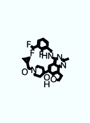 Cc1nc(NCc2cccc(C(F)F)c2F)c2cc(C3(O)CCN(C(=O)C4CC4)CC3)c3c(c2n1)CCO3